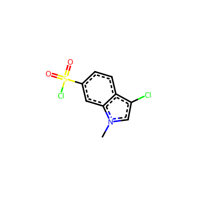 Cn1cc(Cl)c2ccc(S(=O)(=O)Cl)cc21